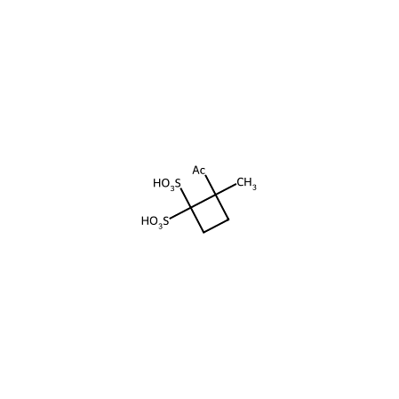 CC(=O)C1(C)CCC1(S(=O)(=O)O)S(=O)(=O)O